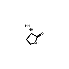 O=C1CCCN1.[HH].[HH]